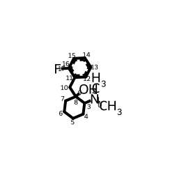 CN(C)C1CCCCC1(O)Cc1ccccc1F